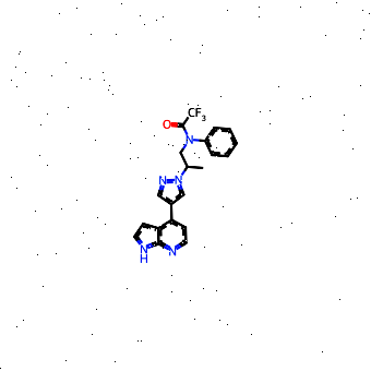 CC(CN(C(=O)C(F)(F)F)c1ccccc1)n1cc(-c2ccnc3[nH]ccc23)cn1